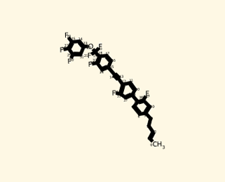 C/C=C/CCc1ccc(-c2ccc(C#Cc3ccc(C(F)(F)Oc4cc(F)c(F)c(F)c4)c(F)c3)c(F)c2)c(F)c1